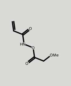 C=CC(=O)NOC(=O)COC